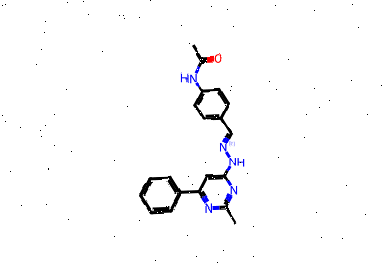 CC(=O)Nc1ccc(/C=N/Nc2cc(-c3ccccc3)nc(C)n2)cc1